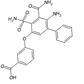 NC(=O)c1c(N)c(-c2ccccc2)cc(Oc2cccc(C(=O)O)c2)c1S(N)(=O)=O